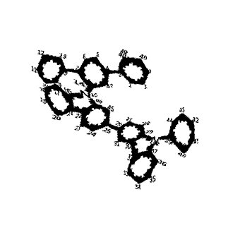 c1ccc(-c2ccc(-c3ccccc3)c(-n3c4ccccc4c4ccc(-c5ccc6c(c5)c5ccccc5n6-c5ccccc5)cc43)c2)cc1